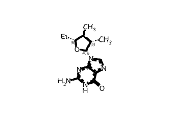 CC[C@H]1O[C@@H](n2cnc3c(=O)[nH]c(N)nc32)[C@@H](C)C1C